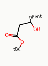 CCCCCC(O)CC(=O)OC(C)(C)C